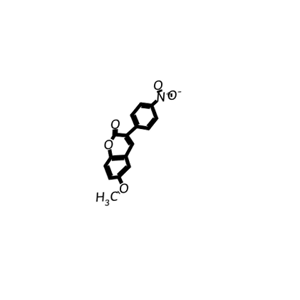 COc1ccc2oc(=O)c(-c3ccc([N+](=O)[O-])cc3)cc2c1